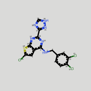 Clc1cc2c(NCc3ccc(Cl)c(Cl)c3)nc(-c3nc[nH]n3)nc2s1